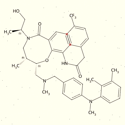 Cc1cccc(N(C)c2ccc(CN(C)C[C@H]3Oc4c(NC(=O)Cc5ccc(C(F)(F)F)cc5)cccc4C(=O)N([C@@H](C)CO)C[C@H]3C)cc2)c1C